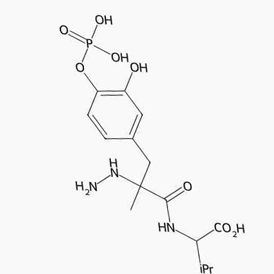 CC(C)C(NC(=O)C(C)(Cc1ccc(OP(=O)(O)O)c(O)c1)NN)C(=O)O